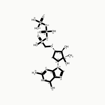 C[C@@]1(O)[C@H](O)[C@@H](OCP(=O)(O)OP(=O)(O)OP(=O)(O)O)C[C@H]1n1cnc2c1N=C(N)NC2O